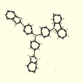 c1ccc2oc(-c3ccc(N(c4ccc(-c5nc6ccccc6s5)cc4)c4ccc(-n5c6ccccc6c6ccccc65)cc4)cc3)nc2c1